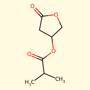 CC(C)C(=O)OC1COC(=O)C1